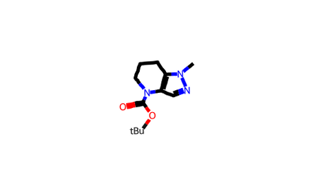 Cn1ncc2c1CCCN2C(=O)OC(C)(C)C